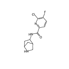 O=C(NC1CC2CC1CN2)c1ccc(F)c(Cl)n1